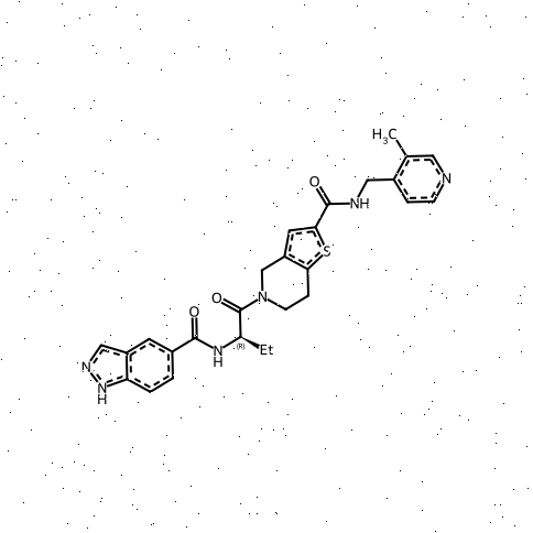 CC[C@@H](NC(=O)c1ccc2[nH]ncc2c1)C(=O)N1CCc2sc(C(=O)NCc3ccncc3C)cc2C1